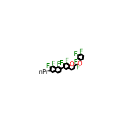 CCCc1cc2ccc(-c3cc4c(c(F)c3F)OC(C(F)(F)Oc3ccc(F)c(F)c3)CC4)c(F)c2c(F)c1F